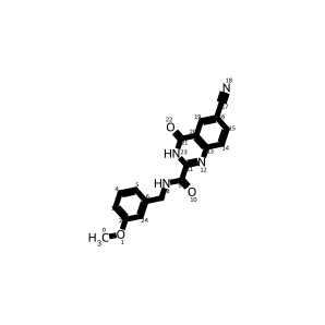 COc1cccc(CNC(=O)c2nc3ccc(C#N)cc3c(=O)[nH]2)c1